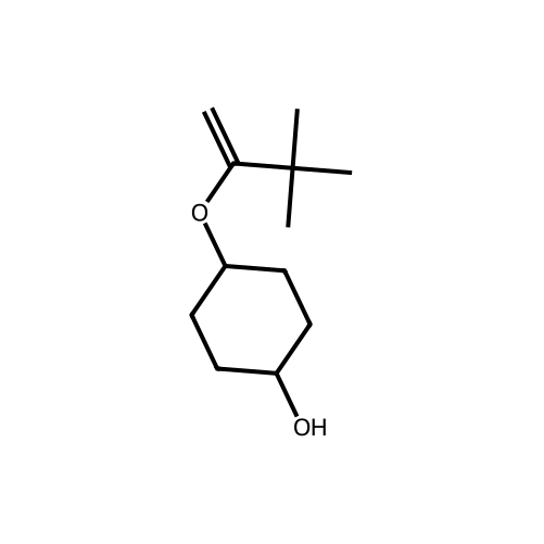 C=C(OC1CCC(O)CC1)C(C)(C)C